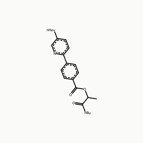 CCCCCCc1ccc(-c2ccc(C(=O)OC(C)C(=O)CCCC)cc2)nc1